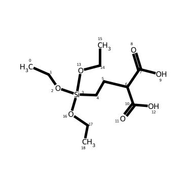 CCO[Si](CCC(C(=O)O)C(=O)O)(OCC)OCC